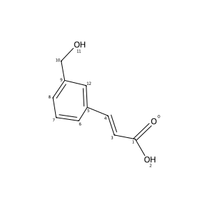 O=C(O)/C=C/c1cccc(CO)c1